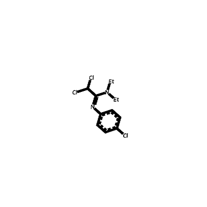 CCN(CC)C(=Nc1ccc(Cl)cc1)C(Cl)Cl